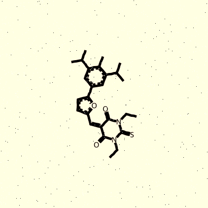 CCN1C(=O)C(=Cc2ccc(-c3cc(C(C)C)c(C)c(C(C)C)c3)o2)C(=O)N(CC)C1=S